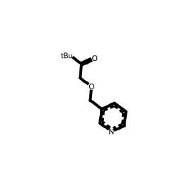 CC(C)(C)C(=O)COCc1cccnc1